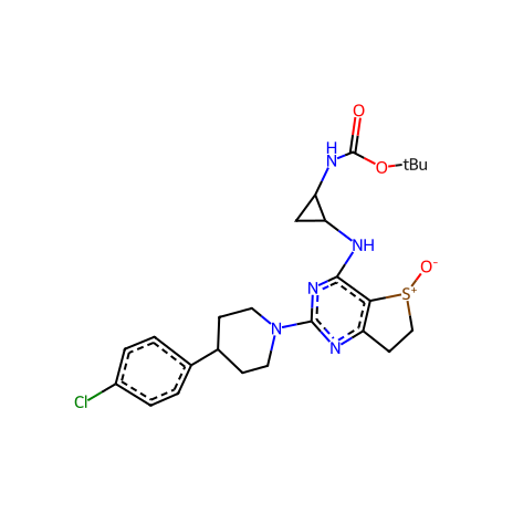 CC(C)(C)OC(=O)NC1CC1Nc1nc(N2CCC(c3ccc(Cl)cc3)CC2)nc2c1[S+]([O-])CC2